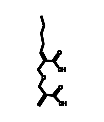 C=C(COC/C(=C/CCCC)C(=O)O)C(=O)O